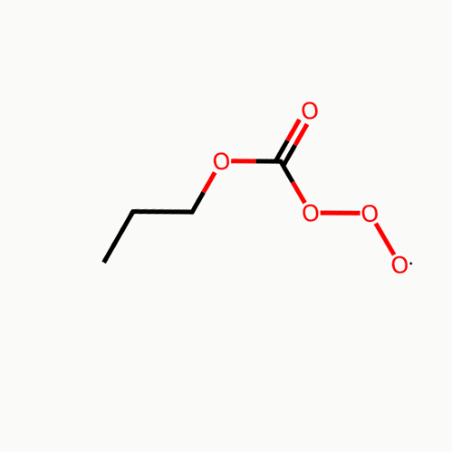 CCCOC(=O)OO[O]